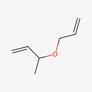 C=CCOC(C)C=C